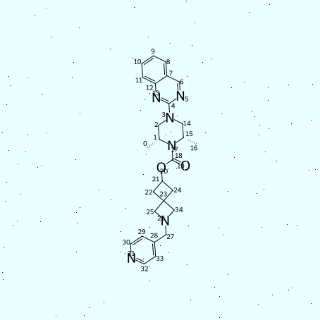 C[C@@H]1CN(c2ncc3ccccc3n2)C[C@H](C)N1C(=O)OC1CC2(C1)CN(Cc1ccncc1)C2